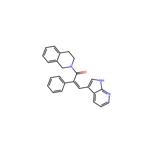 O=C(/C(=C\c1c[nH]c2ncccc12)c1ccccc1)N1CCc2ccccc2C1